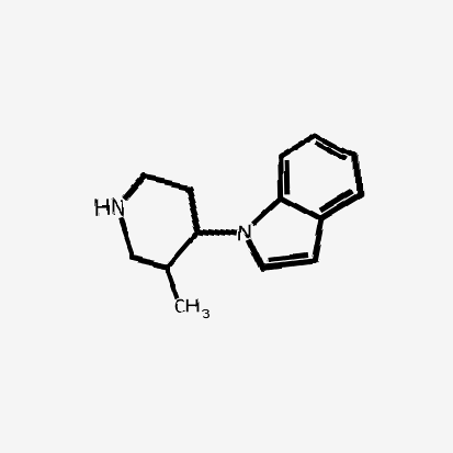 CC1CNCCC1n1ccc2ccccc21